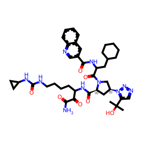 CC(C)(O)c1cnnn1[C@H]1C[C@@H](C(=O)NC(CCCCNC(=O)NC2CC2)C(=O)C(N)=O)N(C(=O)C(CC2CCCCC2)NC(=O)c2cnc3ccccc3c2)C1